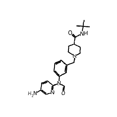 CC(C)(C)NC(=O)C1CCN(Cc2cccc(N(C=O)c3ccc(N)cn3)c2)CC1